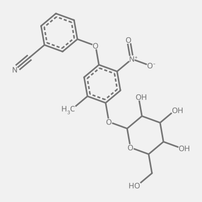 Cc1cc(Oc2cccc(C#N)c2)c([N+](=O)[O-])cc1OC1OC(CO)C(O)C(O)C1O